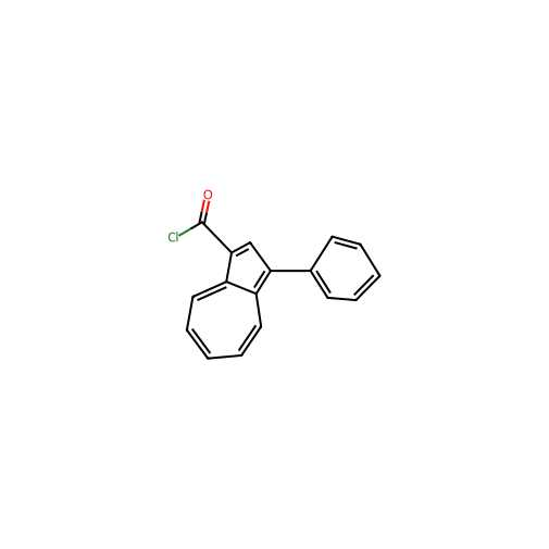 O=C(Cl)c1cc(-c2ccccc2)c2cccccc1-2